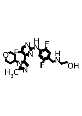 Cc1ncc(-c2nc(Nc3cc(F)c(CNCCO)cc3F)ncc2F)n1C1CCOCC1